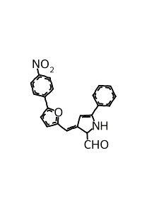 O=CC1NC(c2ccccc2)=C/C1=C\c1ccc(-c2ccc([N+](=O)[O-])cc2)o1